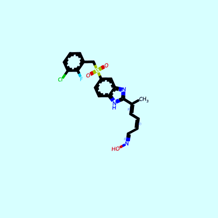 C\C(=C/C=C\C=N\O)c1nc2cc(S(=O)(=O)Cc3cccc(Cl)c3F)ccc2[nH]1